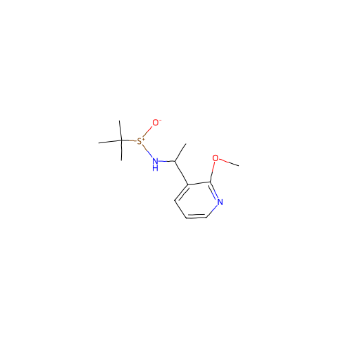 COc1ncccc1C(C)N[S+]([O-])C(C)(C)C